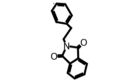 O=C1c2ccccc2C(=O)N1CCc1cc[c]cc1